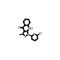 Cc1nn(-c2cccc(Cl)n2)c2[nH]c3ccccc3c(=O)c12